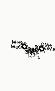 COc1ccc(S(=O)(=O)NCC(C)(C)NS(=O)(=O)c2ccc(OC)c(OC)c2)cc1OC